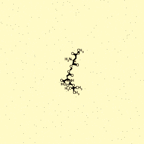 COC(=O)C[C@@H](N)C(=O)OCOC(=O)C[C@@H](NC(=O)OC(C)(C)C)C(=O)O